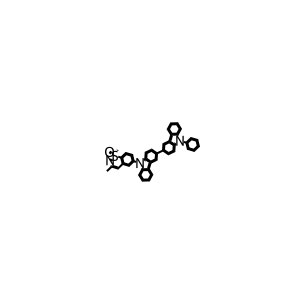 CC1=Cc2cc(-n3c4ccccc4c4cc(-c5ccc6c(c5)c5ccccc5n6-c5ccccc5)ccc43)ccc2S(C)(=O)=N1